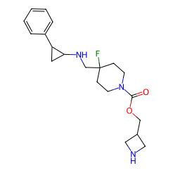 O=C(OCC1CNC1)N1CCC(F)(CNC2CC2c2ccccc2)CC1